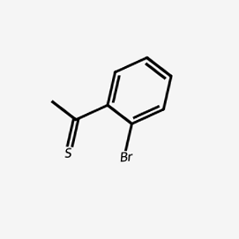 CC(=S)c1ccccc1Br